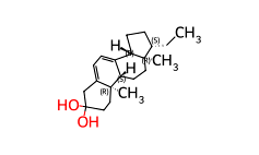 CC[C@H]1CC[C@H]2C3=CC=C4CC(O)(O)CC[C@]4(C)[C@H]3CC[C@]12C